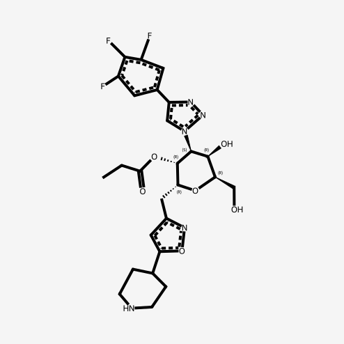 CCC(=O)O[C@@H]1[C@@H](n2cc(-c3cc(F)c(F)c(F)c3)nn2)[C@@H](O)[C@@H](CO)O[C@@H]1Cc1cc(C2CCNCC2)on1